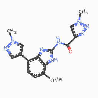 COc1ccc(-c2cnn(C)c2)c2nc(NC(=O)c3cn(C)nn3)[nH]c12